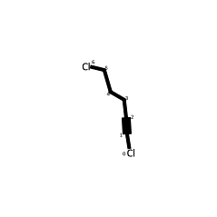 ClC#CCCCCl